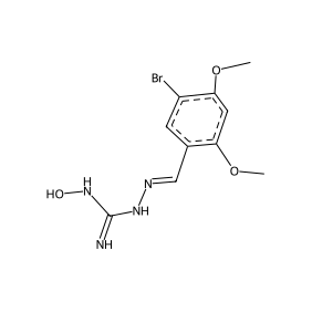 COc1cc(OC)c(/C=N/NC(=N)NO)cc1Br